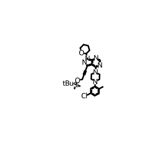 Cc1ccc(Cl)cc1N1CCN(c2ncnc3c2c(C#CCO[Si](C)(C)C(C)(C)C)nn3C2CCCCO2)CC1